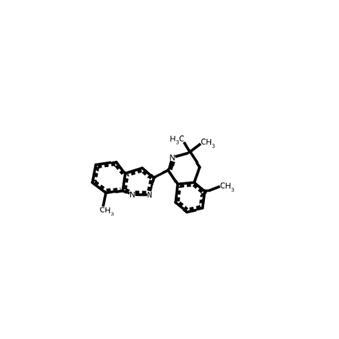 Cc1cccc2c1CC(C)(C)N=C2c1cc2cccc(C)c2nn1